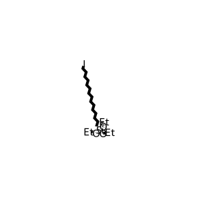 CCO[Si](CCCCCCCCCCCCCCCI)(OCC)OCC